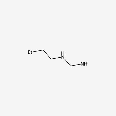 CCCCNC[NH]